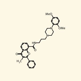 COc1ccc(OC)c(N2CCN(CCCNC(=O)c3cccc4c(=O)c(C)c(-c5ccccc5)oc34)CC2)c1